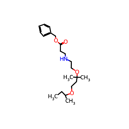 CCC(C)OCCC(C)(C)OCCNCCC(=O)OCc1ccccc1